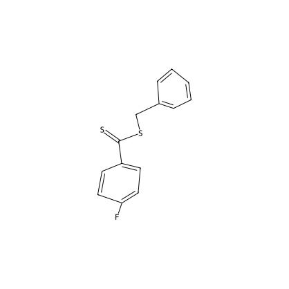 Fc1ccc(C(=S)SCc2ccccc2)cc1